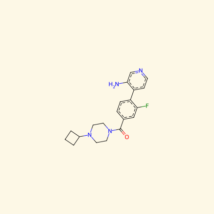 Nc1cnccc1-c1ccc(C(=O)N2CCN(C3CCC3)CC2)cc1F